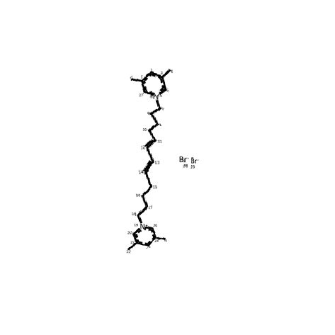 Cc1cc(C)c[n+](CCCCC=CC=CCCCC[n+]2cc(C)cc(C)c2)c1.[Br-].[Br-]